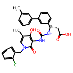 Cc1cccc(-c2cccc([C@H](CC(=O)O)NC(=O)Nc3c(O)c(C)cn(Cc4ccccc4Cl)c3=O)c2)c1